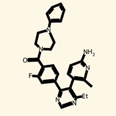 CCc1ncnc(-c2ccc(C(=O)N3CCN(c4ccccc4)CC3)c(F)c2)c1-c1ccc(N)nc1C